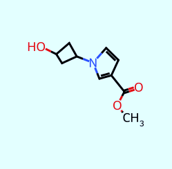 COC(=O)c1ccn(C2CC(O)C2)c1